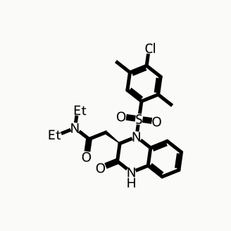 CCN(CC)C(=O)C[C@@H]1C(=O)Nc2ccccc2N1S(=O)(=O)c1cc(C)c(Cl)cc1C